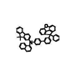 CC1(C)c2ccccc2-c2ccc(N(c3ccc(-c4cccc(C5(c6ccccc6)c6cccc7oc8cccc5c8c67)c4)cc3)c3cccc4ccccc34)cc21